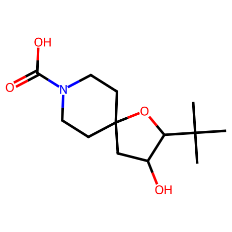 CC(C)(C)C1OC2(CCN(C(=O)O)CC2)CC1O